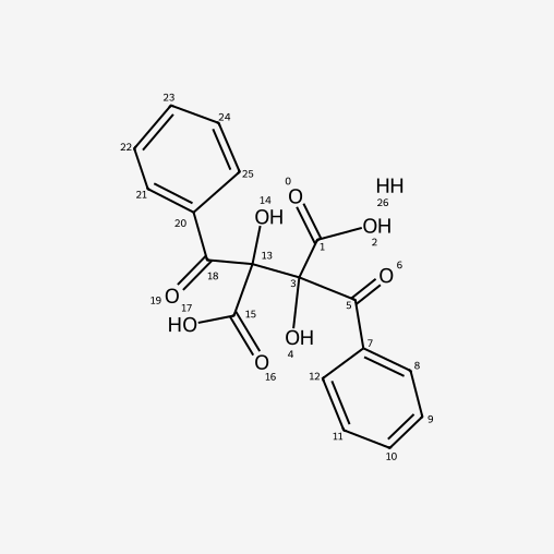 O=C(O)C(O)(C(=O)c1ccccc1)C(O)(C(=O)O)C(=O)c1ccccc1.[HH]